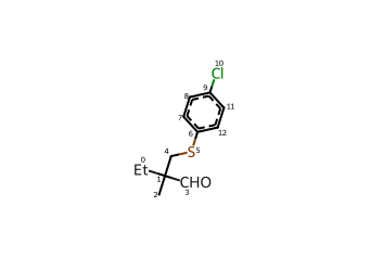 CCC(C)(C=O)CSc1ccc(Cl)cc1